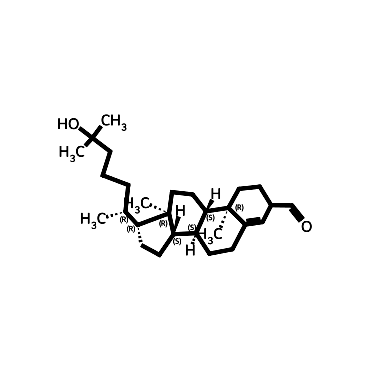 C[C@H](CCCC(C)(C)O)[C@H]1CC[C@H]2[C@@H]3CCC4=CC(C=O)CC[C@]4(C)[C@H]3CC[C@]12C